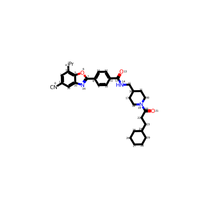 [C-]#[N+]c1cc(C(C)C)c2oc(-c3ccc(C(=O)NCC4CCN(C(=O)CCC5CCCCC5)CC4)cc3)nc2c1